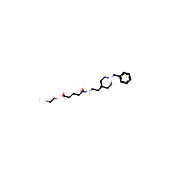 O=C(CCCC(=O)OCCBr)NCCC1CCN(Cc2ccccc2)CC1